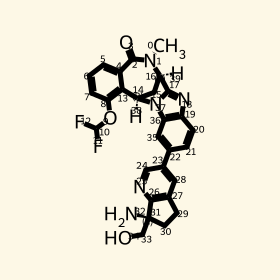 CN1C(=O)c2cccc(OC(F)F)c2[C@H]2C[C@@H]1c1nc3ccc(-c4cnc5c(c4)CC[C@]5(N)CO)cc3n12